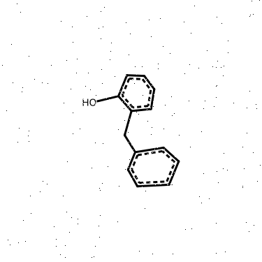 Oc1ccccc1Cc1cc[c]cc1